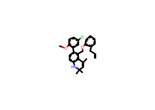 C=CCc1ccccc1OCc1c(-c2cc(Cl)ccc2OC)ccc2c1C(C)=CC(C)(C)N2